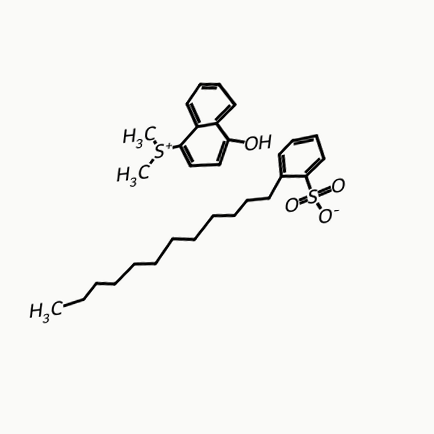 CCCCCCCCCCCCc1ccccc1S(=O)(=O)[O-].C[S+](C)c1ccc(O)c2ccccc12